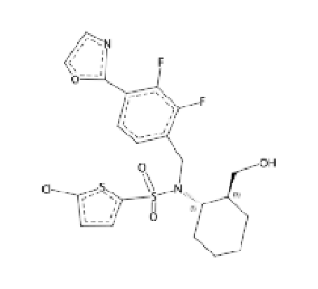 O=S(=O)(c1ccc(Cl)s1)N(Cc1ccc(-c2ncco2)c(F)c1F)[C@H]1CCCC[C@@H]1CO